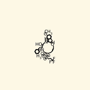 COc1ccc2c(c1)[C@H]1NC[C@@H](O)[C@H](Cc3ccccc3)NC(=O)[C@@H](N(C)S(=O)(=O)CCC(F)(F)F)CCC=CCO[C@@H]1C2